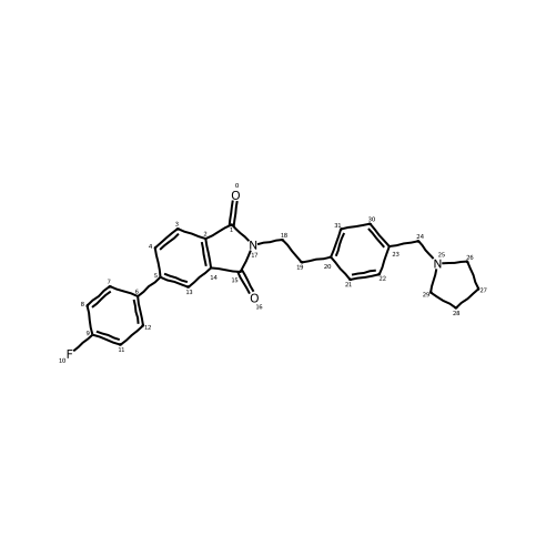 O=C1c2ccc(-c3ccc(F)cc3)cc2C(=O)N1CCc1ccc(CN2CCCC2)cc1